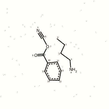 CCCCN.N#COC(=O)c1ccccc1